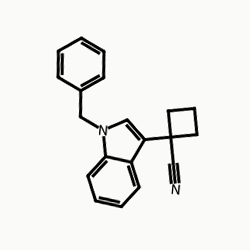 N#CC1(c2cn(Cc3ccccc3)c3ccccc23)CCC1